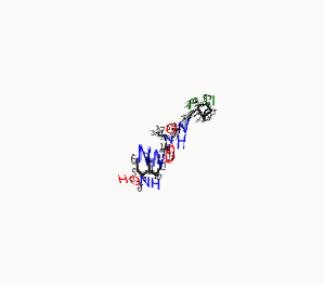 CC(O)Nc1ccnc2c1ccn2CC(=O)N(CC(=O)NCc1cccc(Cl)c1F)C1CC1